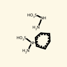 NNS(=O)(=O)O.NNS(=O)(=O)O.c1ccccc1